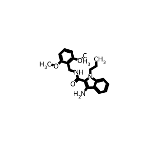 CCCn1c(C(=O)NCc2c(OC)cccc2OC)c(N)c2ccccc21